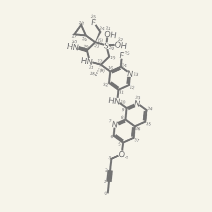 CC#CCOc1cnc2c(Nc3cnc(F)c([C@]4(C)CS(O)(O)[C@@](CF)(C5CC5)C(=N)N4)c3)nccc2c1